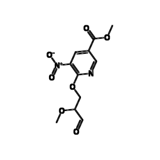 COC(=O)c1cnc(OCC(C=O)OC)c([N+](=O)[O-])c1